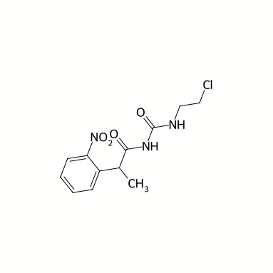 CC(C(=O)NC(=O)NCCCl)c1ccccc1[N+](=O)[O-]